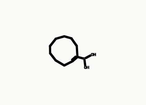 OB(O)C1=CCCCCCCCC1